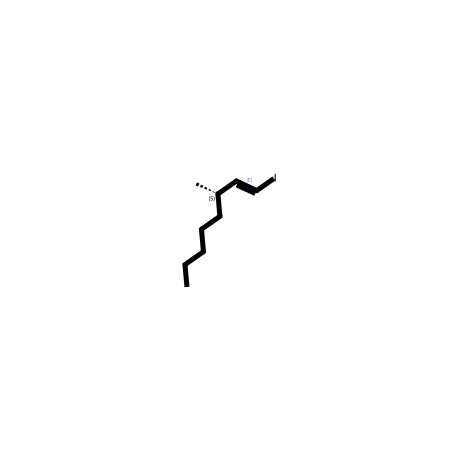 CCCCC[C@H](C)/C=C/I